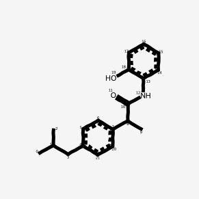 CC(C)Cc1ccc(C(C)C(=O)Nc2ccccc2O)cc1